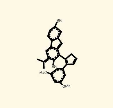 COc1cc(OC)cc(C2=C(c3c(C(C)(C)C)c(=C(C)C)cc4c3=[C]c3cc(C(C)(C)C)ccc3-4)CC=C2)c1